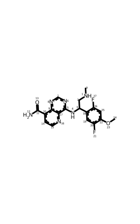 CNCC(Nc1ncnc2c(C(N)=O)ccnc12)c1cc(F)c(OC)cc1F